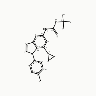 Cc1ccc(C2C=Cc3cc(NC(=O)OC(C)(C)C)cc(C4CC4)c32)cn1